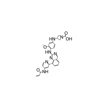 C=CC(=O)Nc1ccnc(-c2cccc3cnc(Nc4ccc(NC5CN(C(=O)O)C5)cc4OC)nc23)c1